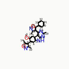 COc1cc2c(cc1-c1c(C)noc1C)[nH]c1nc(C)nc(-c3c(C)noc3-c3ccccc3)c12